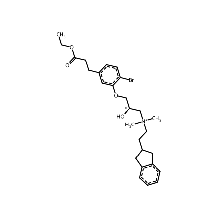 CCOC(=O)CCc1ccc(Br)c(OC[C@H](O)C[N+](C)(C)CCC2Cc3ccccc3C2)c1